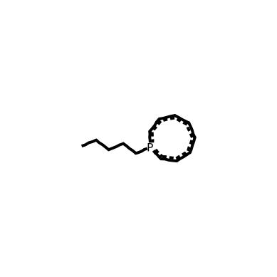 CCCCCp1cccccccc1